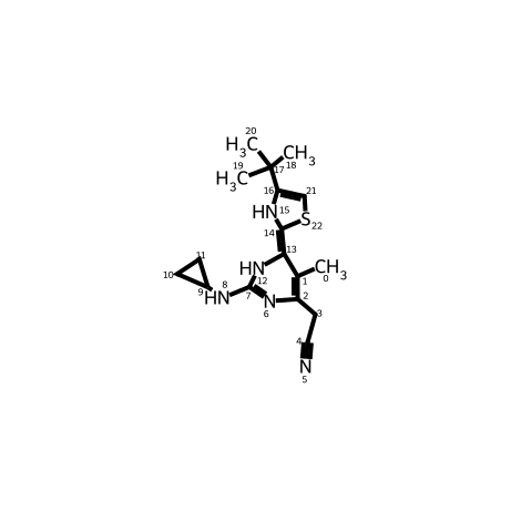 CC1=C(CC#N)N=C(NC2CC2)NC1=C1NC(C(C)(C)C)=CS1